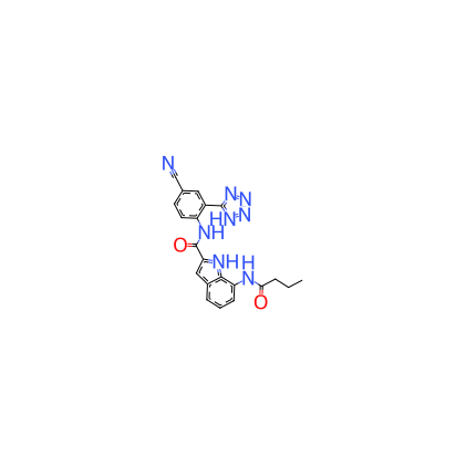 CCCC(=O)Nc1cccc2cc(C(=O)Nc3ccc(C#N)cc3-c3nnn[nH]3)[nH]c12